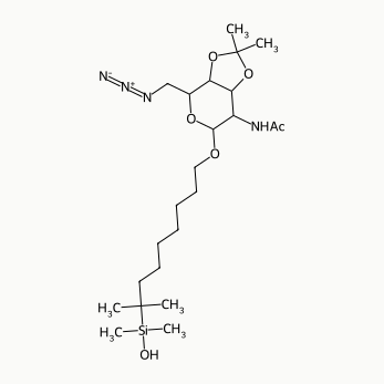 CC(=O)NC1C(OCCCCCCCC(C)(C)[Si](C)(C)O)OC(CN=[N+]=[N-])C2OC(C)(C)OC12